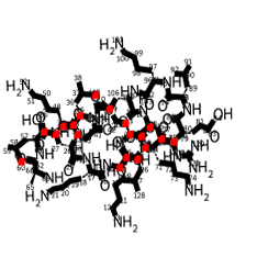 CSCC[C@H](NC(=O)[C@H](CCCCN)NC(=O)[C@H](CCCCN)NC(=O)[C@H](CCC(=O)O)NC(=O)[C@H](CC(C)C)NC(=O)CNC(=O)[C@H](CCCCN)NC(=O)[C@H](CC(C)C)NC(=O)[C@H](C)N)C(=O)N[C@@H](CCCCN)C(=O)N[C@@H](CCC(=O)O)C(=O)N[C@@H](CC(C)C)C(=O)N[C@@H](CCCCN)C(=O)N[C@@H](CCC(N)=O)C(=O)N[C@@H](CCCNC(=N)N)C(=O)N[C@@H](CC(C)C)C(=O)O